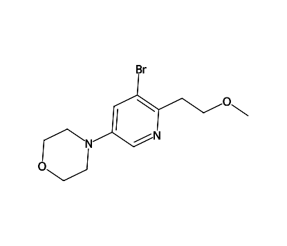 COCCc1ncc(N2CCOCC2)cc1Br